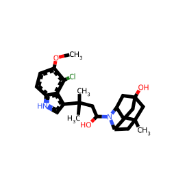 COc1ccc2[nH]cc(C(C)(C)CC(O)N3C4CC5(C)CC3CC(O)(C4)C5)c2c1Cl